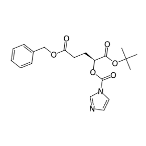 CC(C)(C)OC(=O)[C@H](CCC(=O)OCc1ccccc1)OC(=O)n1ccnc1